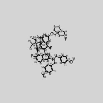 [2H]c1nc(OC[C@@]23CCCN2C[C@H](F)C3)nc2c(F)c(-c3nc(N(Cc4ccc(OC)cc4)Cc4ccc(OC)cc4)cc4ccc(F)c(C#C[Si](C(C)C)(C(C)C)C(C)C)c34)c(F)cc12